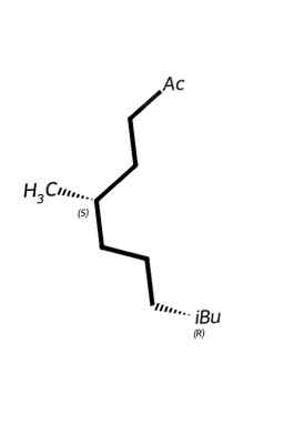 CC[C@@H](C)CCC[C@H](C)CCC(C)=O